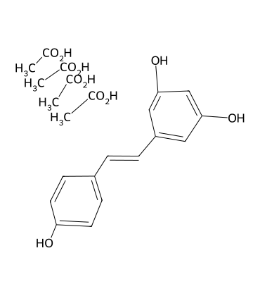 CC(=O)O.CC(=O)O.CC(=O)O.CC(=O)O.Oc1ccc(C=Cc2cc(O)cc(O)c2)cc1